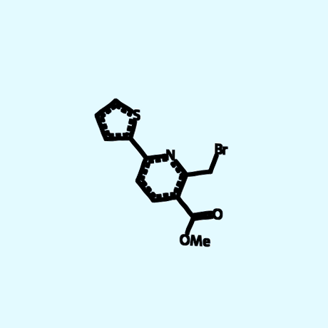 COC(=O)c1ccc(-c2cccs2)nc1CBr